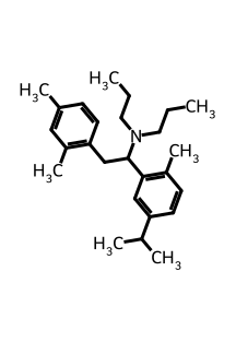 CCCN(CCC)C(Cc1ccc(C)cc1C)c1cc(C(C)C)ccc1C